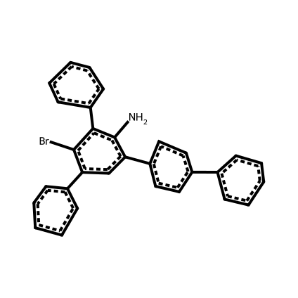 Nc1c(-c2ccc(-c3ccccc3)cc2)cc(-c2ccccc2)c(Br)c1-c1ccccc1